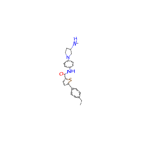 CCc1ccc(-c2ccc(C(=O)Nc3ccc(N4CCC(NC)C4)cc3)s2)cc1